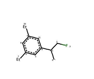 [CH2]C(CF)c1cc(CC)cc(CC)c1